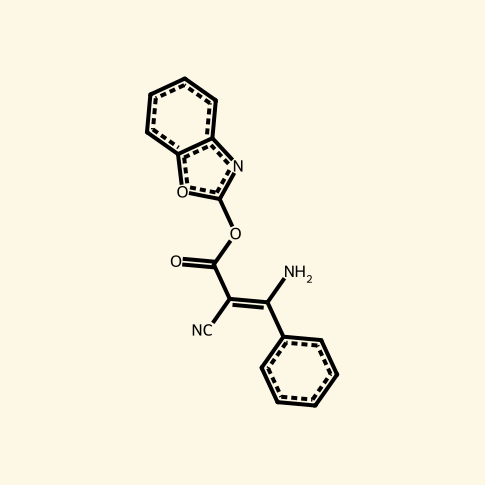 N#CC(C(=O)Oc1nc2ccccc2o1)=C(N)c1ccccc1